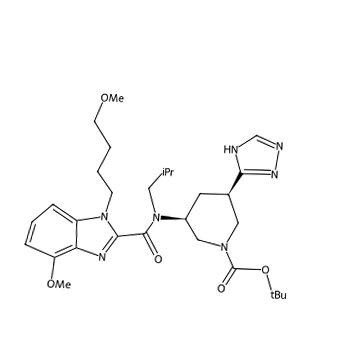 COCCCCn1c(C(=O)N(CC(C)C)[C@H]2C[C@@H](c3nnc[nH]3)CN(C(=O)OC(C)(C)C)C2)nc2c(OC)cccc21